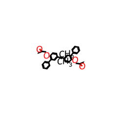 CC(C)(c1ccc(OCC2CO2)c(-c2ccccc2)c1)c1ccc(OCC2CO2)c(-c2ccccc2)c1